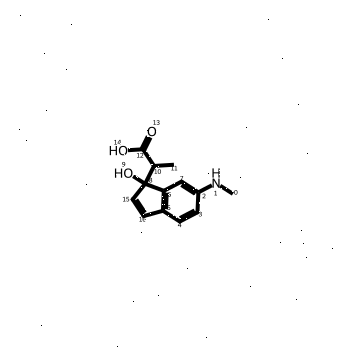 CNc1ccc2c(c1)C(O)(C(C)C(=O)O)C=C2